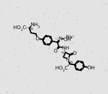 N[C@H](CCOc1ccc(/C(=N/O)C(=O)N[C@H]2CN([C@@H](C(=O)O)c3ccc(O)cc3)C2=O)cc1)C(=O)O.[Na+]